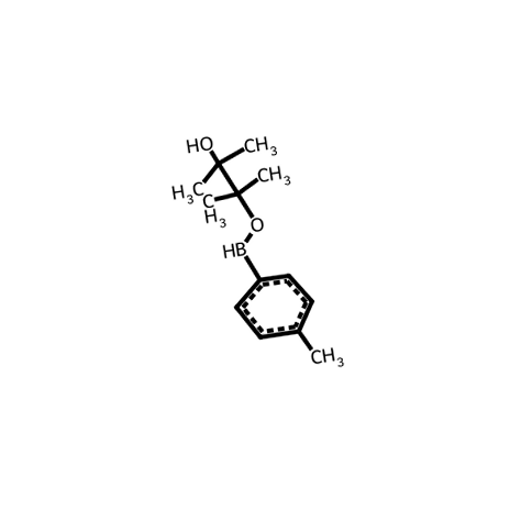 Cc1ccc(BOC(C)(C)C(C)(C)O)cc1